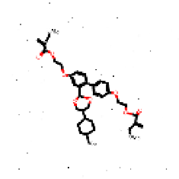 C=C(COC)C(=O)OCCOc1ccc(-c2ccc(OCCOC(=O)C(=C)COC)cc2C2OCC(C3CCC(CCCC)CC3)CO2)cc1